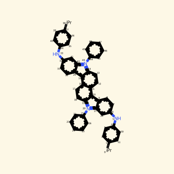 CC(C)c1ccc(Nc2ccc3c4c5ccc6c(c5ccc4n(-c4ccccc4)c3c2)c2ccc(Nc3ccc(C(C)C)cc3)cc2n6-c2ccccc2)cc1